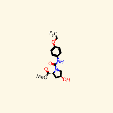 COC(=O)[C@H]1C[C@H](O)CN1C(=O)Nc1ccc(OCC(F)(F)F)cc1